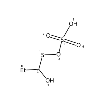 CCC(O)SOS(=O)(=O)O